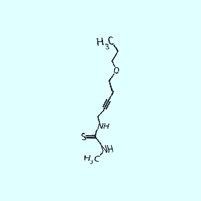 CCCOCCC#CCNC(=S)NC